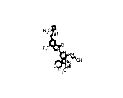 Cn1cnnc1C1(c2cc(NCCC#N)nc(N3Cc4c(cc(CNC5(C)CCC5)cc4C(F)(F)F)C3=O)c2)CCOCC1